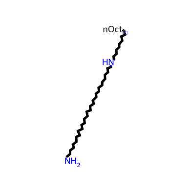 CCCCCCCC/C=C\CCCCCCCCNCCCCCCCCCCCCCCCCCCCCCCCCCCCCCCN